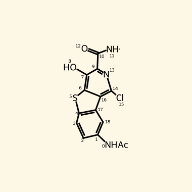 CC(=O)Nc1ccc2sc3c(O)c(C([NH])=O)nc(Cl)c3c2c1